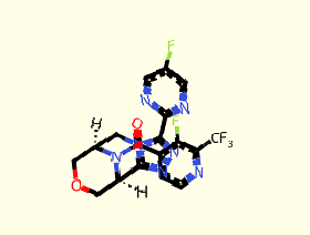 O=C(c1ccnc(C(F)(F)F)c1F)N1[C@H]2COC[C@@H]1c1nnc(-c3ncc(F)cn3)n1C2